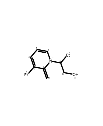 C=C1C(CC)=CC=CN1C(CC)CO